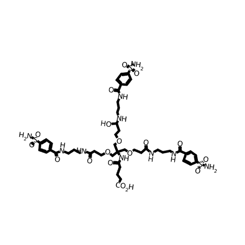 NS(=O)(=O)c1ccc(C(=O)NCCCNC(=O)CCOCC(COCCC(=O)NCCCNC(=O)c2ccc(S(N)(=O)=O)cc2)(COCCC(O)NCCCNC(=O)c2ccc(S(N)(=O)=O)cc2)NC(=O)CCCC(=O)O)cc1